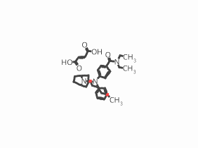 CCCCCCN1C2CCC1CC(N(c1ccccc1)c1ccc(C(=O)N(CC)CC)cc1)C2.O=C(O)/C=C/C(=O)O